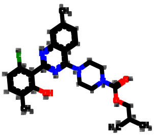 Cc1ccc2c(N3CCN(C(=O)OCC(C)C)CC3)nc(-c3c(F)ccc(C)c3O)nc2c1